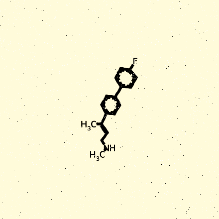 CNCC=C(C)c1ccc(-c2ccc(F)cc2)cc1